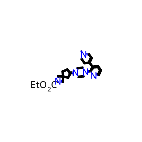 CCOC(=O)N1CC2(CC[C@@H](N3CCN(c4ncccc4C4=CCN(C)CC4)CC3)C2)C1